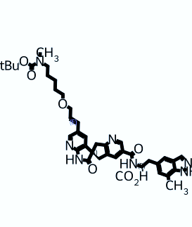 Cc1cc(C[C@@H](NC(=O)c2cnc3c(c2)C[C@@]2(C3)C(=O)Nc3ncc(/C=C/COCCCCCN(C)C(=O)OC(C)(C)C)cc32)C(=O)O)cc2cn[nH]c12